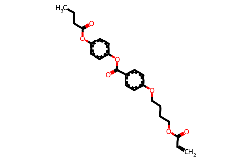 C=CC(=O)OCCCCOc1ccc(C(=O)Oc2ccc(OC(=O)CCC)cc2)cc1